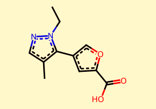 CCn1ncc(C)c1-c1coc(C(=O)O)c1